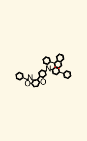 c1ccc(-c2ccc(N(c3ccc4c(c3)oc3ccc5oc(-c6ccccc6)nc5c34)c3ccccc3-c3cccc4ccccc34)cc2)cc1